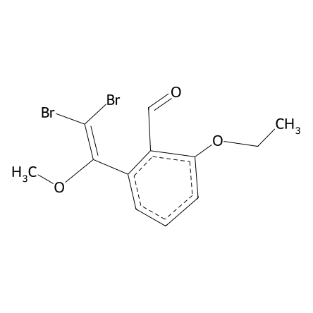 CCOc1cccc(C(OC)=C(Br)Br)c1C=O